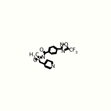 CS(=O)(Cc1ccncc1)=NC(=O)c1ccc(-c2noc(C(F)(F)F)n2)cc1